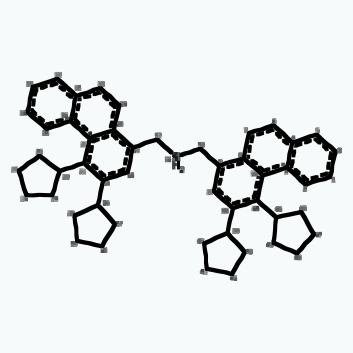 c1ccc2c(c1)ccc1c(C[SiH2]Cc3cc(C4CCCC4)c(C4CCCC4)c4c3ccc3ccccc34)cc(C3CCCC3)c(C3CCCC3)c12